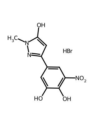 Br.Cn1nc(-c2cc(O)c(O)c([N+](=O)[O-])c2)cc1O